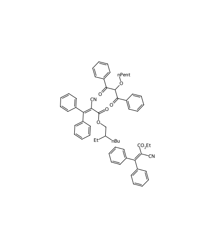 CCCCC(CC)COC(=O)C(C#N)=C(c1ccccc1)c1ccccc1.CCCCCOC(C(=O)c1ccccc1)C(=O)c1ccccc1.CCOC(=O)C(C#N)=C(c1ccccc1)c1ccccc1